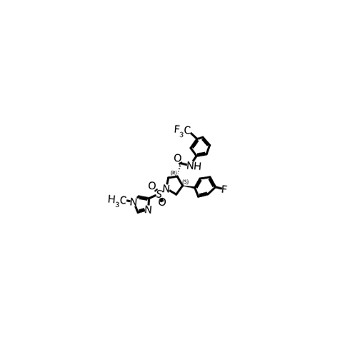 Cn1cnc(S(=O)(=O)N2C[C@H](C(=O)Nc3cccc(C(F)(F)F)c3)[C@@H](c3ccc(F)cc3)C2)c1